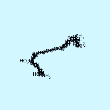 Cc1nc2cc(F)c(-c3cnc(N4CCN(C(=O)COCCOCCOCCOCCOCCOCCn5cc(CC[C@H](NC(=O)c6ccc(SCc7ccc8nc(N)nc(O)c8c7)cc6)C(=O)O)nn5)CC4)nc3)nc2c(N[C@H](C)c2cc(C#N)ccc2F)c1Cl